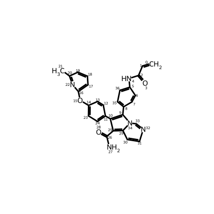 C=CC(=O)Nc1ccc(-c2c(-c3ccc(Oc4cccc(C)n4)cc3)c(C(N)=O)c3ccncn23)cc1